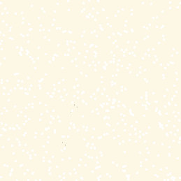 COc1ccc(CN([C@@H]2CCCNC2=O)S(=O)(=O)c2ccc(Cl)cc2)cc1F